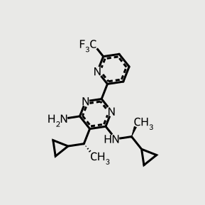 C[C@H](Nc1nc(-c2cccc(C(F)(F)F)n2)nc(N)c1[C@H](C)C1CC1)C1CC1